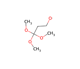 COC(CC[O])(OC)OC